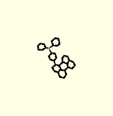 c1ccc(N(c2ccccc2)c2ccc(-c3ccc4cccc5c6cccc7cccc(c3c45)c76)cc2)cc1